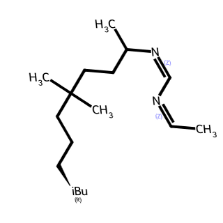 C/C=N\C=N/C(C)CCC(C)(C)CCC[C@H](C)CC